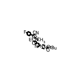 CCc1oc2ncc(N3CCN(C(=O)OC(C)(C)C)CC3)cc2c1N(C)c1nc(-c2ccc(F)cc2)c(C#N)s1